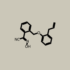 C=CCc1ccccc1OCc1ccccc1C(C#N)=NO